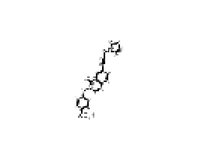 O=C(O)c1ccc(Cn2ccc3ccc(C#CCn4ccnc4)cc3c2=O)cc1